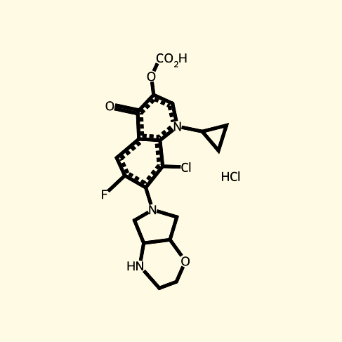 Cl.O=C(O)Oc1cn(C2CC2)c2c(Cl)c(N3CC4NCCOC4C3)c(F)cc2c1=O